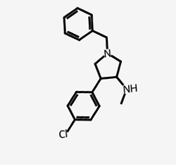 CNC1CN(Cc2ccccc2)CC1c1ccc(Cl)cc1